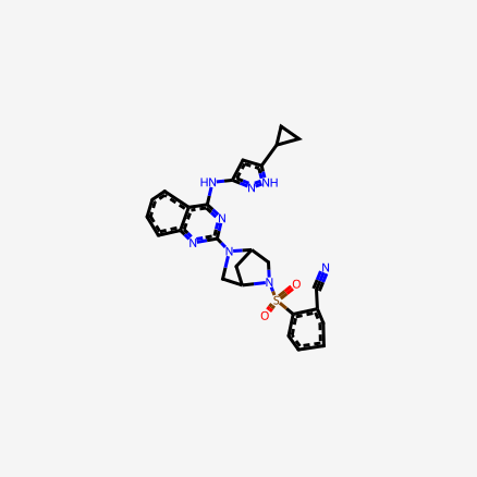 N#Cc1ccccc1S(=O)(=O)N1CC2CC1CN2c1nc(Nc2cc(C3CC3)[nH]n2)c2ccccc2n1